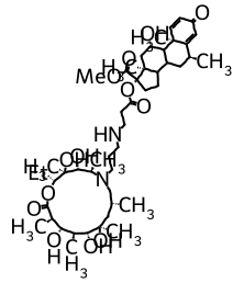 CC[C@H]1OC(=O)[C@H](C)[C@@H](O)[C@H](C)[C@@H](O)[C@](C)(O)C[C@@H](C)CN(CCCNCCC(=O)O[C@]2(C(=O)OC)CCC3C4C[C@H](C)C5=CC(=O)C=C[C@]5(C)C4[C@@H](O)C[C@@]32C)[C@H](C)[C@@H](O)[C@]1(C)O